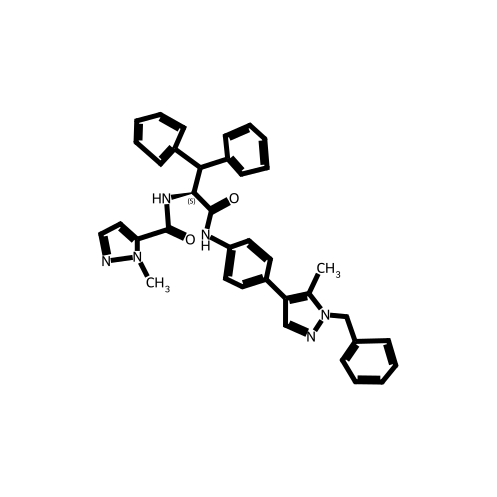 Cc1c(-c2ccc(NC(=O)[C@@H](NC(=O)c3ccnn3C)C(c3ccccc3)c3ccccc3)cc2)cnn1Cc1ccccc1